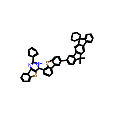 CC1(C)c2ccc(-c3ccc4sc5c(C6NC(c7ccccc7)=Nc7c6sc6ccccc76)cccc5c4c3)cc2-c2cc3c(cc21)-c1ccccc1C31CCCCC1